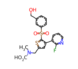 CN(Cc1cc(-c2cccnc2F)c(S(=O)(=O)c2cccc(CO)c2)s1)C(=O)O